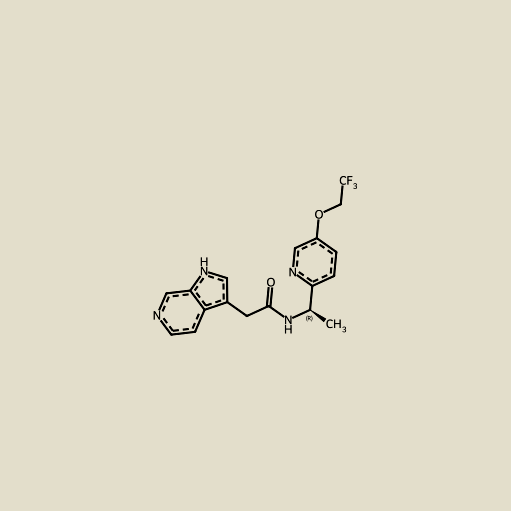 C[C@@H](NC(=O)Cc1c[nH]c2cnccc12)c1ccc(OCC(F)(F)F)cn1